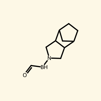 O=CBN1CC2C3CCC(C3)C2C1